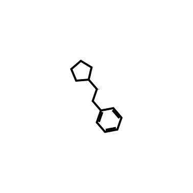 [CH](Cc1ccccc1)C1CCCC1